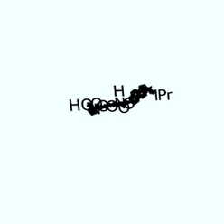 CC(C)CC[C@H](C)C1CCC2C3CCC4=C[C@H](OCC(=O)NCCOCCOCC(=O)N5CCC[C@H]5CO)CC[C@@]4(C)C3CC[C@]21C